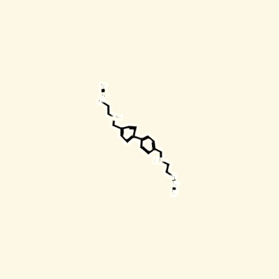 [N-]=[N+]=NCCNCc1ccc(-c2ccc(CNCCN=[N+]=[N-])cc2)cc1